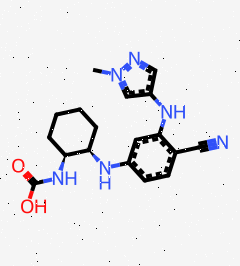 Cn1cc(Nc2cc(N[C@@H]3CCCC[C@@H]3NC(=O)O)ccc2C#N)cn1